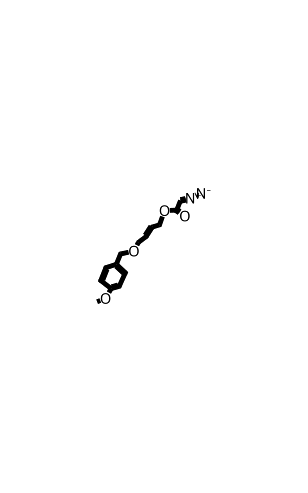 COc1ccc(COCC=CCOC(=O)C=[N+]=[N-])cc1